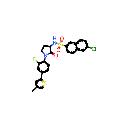 Cc1csc(-c2ccc(N3CCC(NS(=O)(=O)c4ccc5cc(Cl)ccc5c4)C3=O)c(F)c2)c1